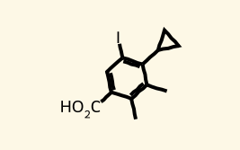 Cc1c(C(=O)O)cc(I)c(C2CC2)c1C